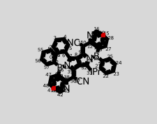 Cc1ccccc1-c1c2/c(=C(\C#N)c3ccccn3)n(B(c3ccccc3)c3ccccc3)c(C(C)C)c2/c(=C(\C#N)c2ccccn2)n1B(c1ccccc1)c1ccccc1